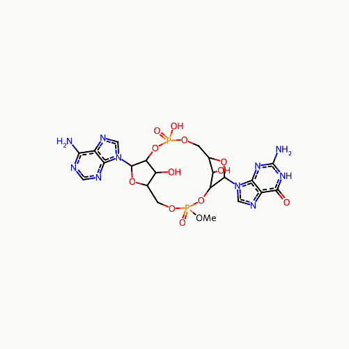 COP1(=O)OCC2OC(n3cnc4c(N)ncnc43)C(OP(=O)(O)OCC3OC(n4cnc5c(=O)[nH]c(N)nc54)C(O1)C3O)C2O